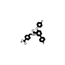 COC(=O)c1ccc(CNC(=O)c2cc(-c3ccc(F)cc3)ccc2Oc2ccc(F)cc2)cc1